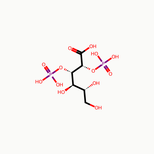 O=C(O)[C@H](OP(=O)(O)O)[C@@H](OP(=O)(O)O)[C@H](O)[C@H](O)CO